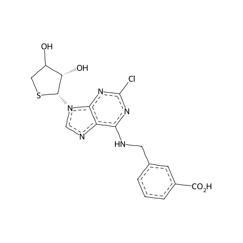 O=C(O)c1cccc(CNc2nc(Cl)nc3c2ncn3[C@@H]2SCC(O)[C@@H]2O)c1